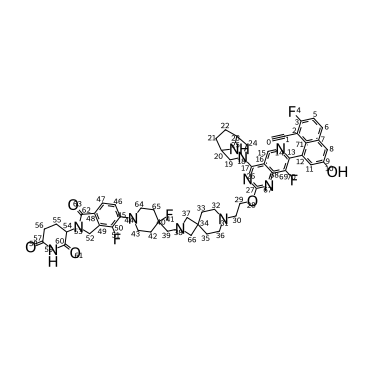 C#Cc1c(F)ccc2cc(O)cc(-c3ncc4c(N5CC6CCC(C5)N6)nc(OCCN5CCC6(CC5)CN(CC5(F)CCN(c7ccc8c(c7F)CN(C7CCC(=O)NC7=O)C8=O)CC5)C6)nc4c3F)c12